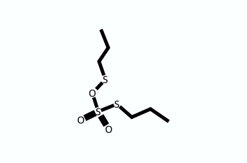 CCCSOS(=O)(=O)SCCC